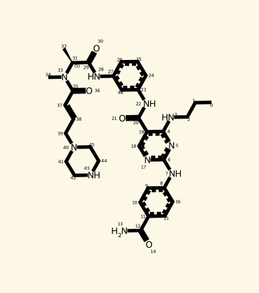 CCCNc1nc(Nc2ccc(C(N)=O)cc2)ncc1C(=O)Nc1cccc(NC(=O)[C@H](C)N(C)C(=O)C=CCN2CCNCC2)c1